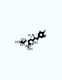 CC(C)(O)CC[C@H](C[C@H](O)[C@@H](N)Cc1ccc(F)c(F)c1)C(=O)NO